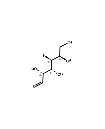 O=C[C@H](O)[C@@H](O)[C@@H](F)[C@H](O)CO